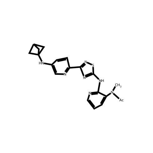 CC(=O)N(C)c1cccnc1Nc1nc(-c2ccc(NC34CC(C3)C4)cn2)ns1